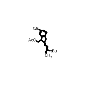 C=C/C(=C\C=C1/Cc2ccc(C(C)(C)C)cc2C1COC(C)=O)C(C)(C)C